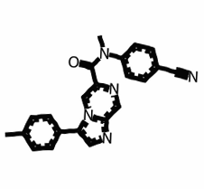 Cc1ccc(-c2cnc3cnc(C(=O)N(C)c4ccc(C#N)cc4)cn23)cc1